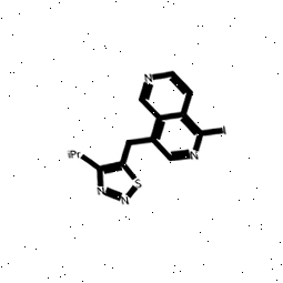 CC(C)c1nnsc1Cc1cnc(I)c2ccncc12